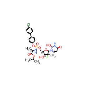 CC(C)OC(=O)[C@H](C)NP(=O)(OC[C@H]1O[C@@H](N2C=CC(=O)NC2O)[C@](C)(F)[C@@H]1O)Oc1ccc(-c2ccc(Cl)cc2)cc1